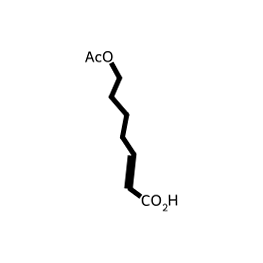 CC(=O)OCCCCC=CC(=O)O